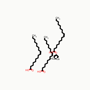 C1=[CH][GaH][Ga]=[CH]1.CCCCCCCC/C=C\CCCCCCCC(=O)O.CCCCCCCC/C=C\CCCCCCCC(=O)O.CCCCCCCC/C=C\CCCCCCCC(=O)O